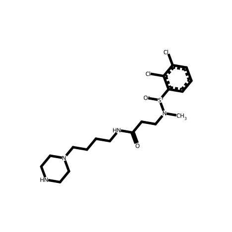 CN(CCC(=O)NCCCCN1CCNCC1)[S+]([O-])c1cccc(Cl)c1Cl